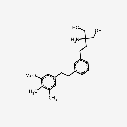 COc1cc(CCc2cccc(CCC(N)(CO)CO)c2)cc(C)c1C